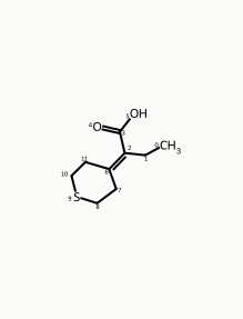 CCC(C(=O)O)=C1CCSCC1